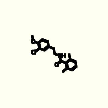 COc1ccc(CCNC(=O)c2c(C)cccc2C)cc1Cl